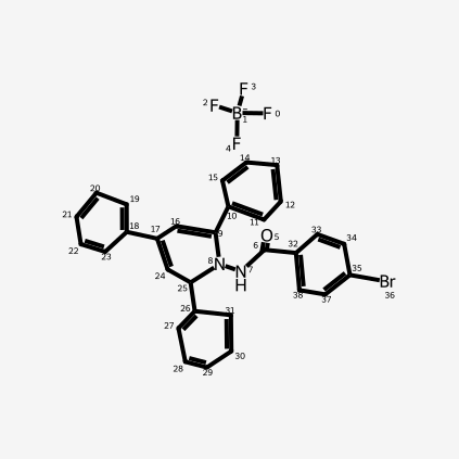 F[B-](F)(F)F.O=C(NN1C(c2ccccc2)=CC(c2ccccc2)=CC1c1ccccc1)c1ccc(Br)cc1